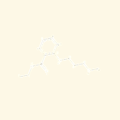 CCOC(=O)c1cccnc1OCCCOC